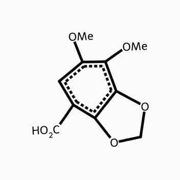 COc1cc(C(=O)O)c2c(c1OC)OCO2